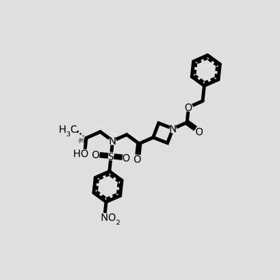 C[C@@H](O)CN(CC(=O)C1CN(C(=O)OCc2ccccc2)C1)S(=O)(=O)c1ccc([N+](=O)[O-])cc1